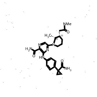 CNC(=O)C[C@@H]1CCCN(c2cnc(C(N)=O)c(Nc3ccc(C4(C(N)=O)CC4)cc3)n2)[C@@H]1C